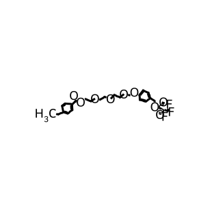 CCc1ccc(C(=O)OCCOCCOCCOCOc2ccc(COS(=O)(=O)C(F)(F)F)cc2)cc1